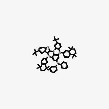 CC(C)(C)c1ccc2c(c1)B1c3sc4ccc(C(C)(C)C)cc4c3N(c3ccc4c(c3)C(C)(C)CCC4(C)C)c3cc(N(c4ccccc4)c4ccccc4)cc(c31)N2c1ccc2c(c1)C(C)(C)CCC2(C)C